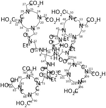 CCN(CC(=O)NCC(CNC(=O)CN(CC)C(=O)CN1CCN(CC(=O)O)CCN(CC(=O)O)CCN(CC(=O)O)CC1)(CNC(=O)CN(CC)C(=O)CN1CCN(CC(=O)O)CCN(CC(=O)O)CCN(CC(=O)O)CC1)CNC(=O)CN(CC)C(=O)CN1CCN(CC(=O)O)CCN(CC(O)O)CCN(CC(=O)O)CC1)C(=O)CN1CCN(CC(=O)O)CCN(CC(=O)O)CCN(CC(=O)O)CC1